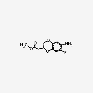 COC(=O)CC1COc2cc(N)c(F)cc2O1